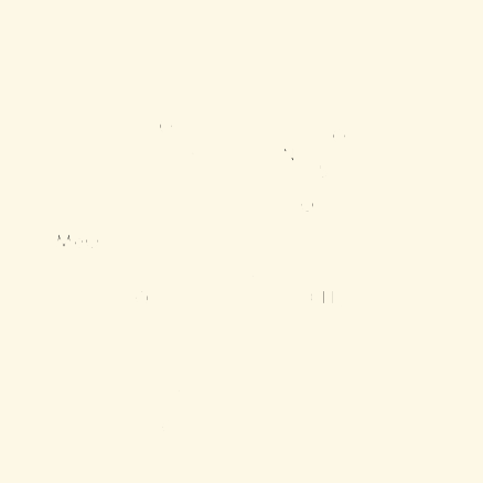 COc1cc(C(=O)c2cn(S(=O)(=O)c3ccccc3)c3ccccc23)ccc1O[C@@H](CCCl)c1ccc(C)cc1